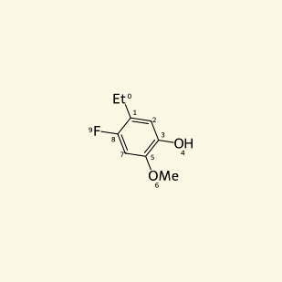 CCc1cc(O)c(OC)cc1F